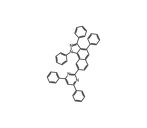 c1ccc(-c2cc(-c3ccccc3)nc(-c3ccc4cc(-c5ccccc5)c5c(-c6ccccc6)nn(-c6ccccc6)c5c4c3)n2)cc1